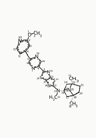 COc1cc(-c2cnc(-c3nc4sc(N(C)[C@H]5C[C@]6(C)CC[C@](C)(C5)N6)nc4s3)cn2)ccn1